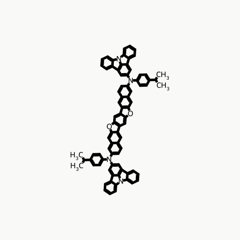 CC(C)c1ccc(N(c2ccc3cc4c(cc3c2)oc2cc3c(cc24)oc2cc4cc(N(c5ccc(C(C)C)cc5)c5cc6c7ccccc7n7c8ccccc8c(c5)c67)ccc4cc23)c2cc3c4ccccc4n4c5ccccc5c(c2)c34)cc1